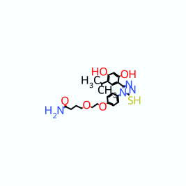 CC(C)c1cc(-c2nnc(S)n2-c2ccc(OCCOCCCC(N)=O)cc2)c(O)cc1O